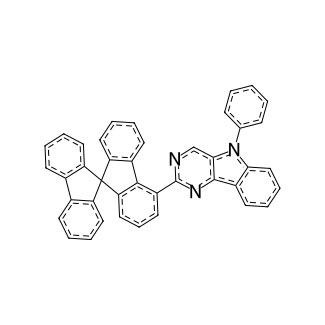 c1ccc(-n2c3ccccc3c3nc(-c4cccc5c4-c4ccccc4C54c5ccccc5-c5ccccc54)ncc32)cc1